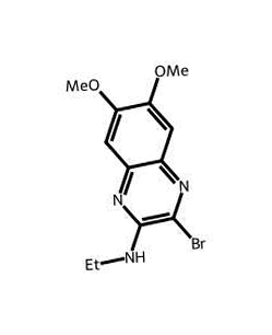 CCNc1nc2cc(OC)c(OC)cc2nc1Br